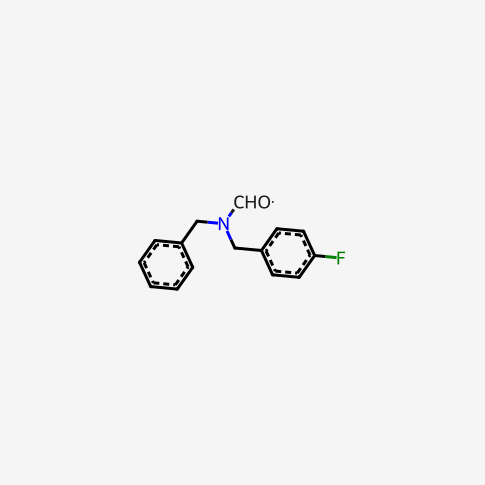 O=[C]N(Cc1ccccc1)Cc1ccc(F)cc1